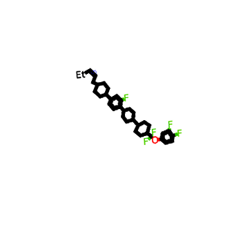 CC/C=C\CC1CCC(c2ccc(C3CCC(C4CCC(C(F)(F)Oc5ccc(F)c(F)c5)CC4)CC3)c(F)c2)CC1